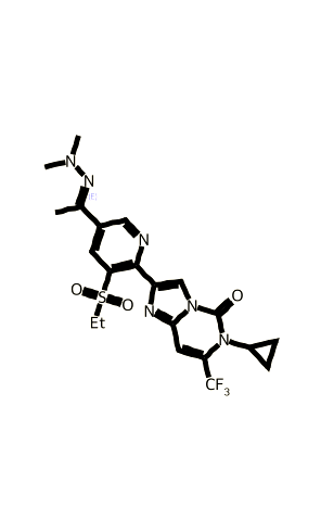 CCS(=O)(=O)c1cc(/C(C)=N/N(C)C)cnc1-c1cn2c(=O)n(C3CC3)c(C(F)(F)F)cc2n1